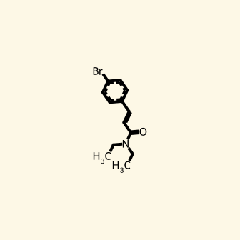 CCN(CC)C(=O)C=Cc1ccc(Br)cc1